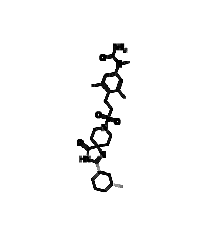 Cc1cc(N(C)C(N)=O)cc(C)c1CCS(=O)(=O)N1CCC2(CC1)N=C([C@H]1CCC[C@@H](C)C1)NC2=O